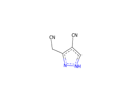 N#CCc1n[nH][c]c1C#N